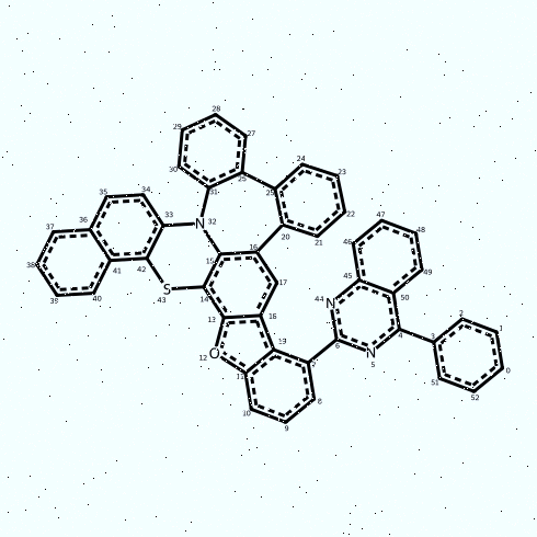 c1ccc(-c2nc(-c3cccc4oc5c6c7c(cc5c34)-c3ccccc3-c3ccccc3N7c3ccc4ccccc4c3S6)nc3ccccc23)cc1